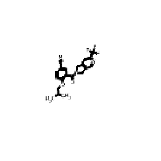 CC(C)COc1ccc(C#N)cc1C(=O)N1Cc2cnc(C(F)(F)F)cc2C1